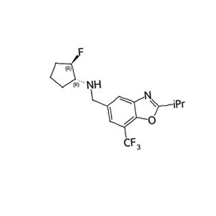 CC(C)c1nc2cc(CN[C@@H]3CCC[C@H]3F)cc(C(F)(F)F)c2o1